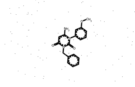 COc1cccc(-n2c(N)cc(=O)n(Cc3ccccc3)c2=O)c1